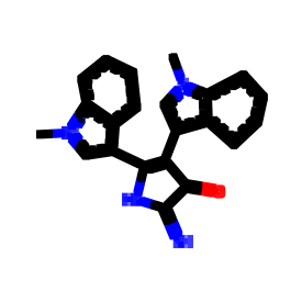 Cn1cc(C2=C(c3cn(C)c4ccccc34)C(=O)C(=N)N2)c2ccccc21